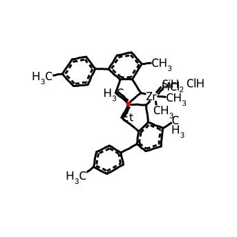 CCC1=Cc2c(-c3ccc(C)cc3)ccc(C)c2[CH]1[Zr]([CH3])([CH3])(=[SiH2])[CH]1C(C)=Cc2c(-c3ccc(C)cc3)ccc(C)c21.Cl.Cl